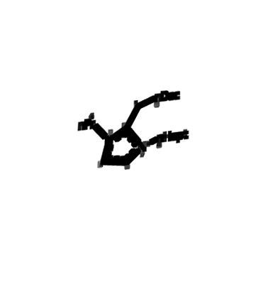 CCCCCCCCCCCc1n(CCC)cc[n+]1CCCCCCC